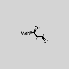 CNC(=O)C[C]=S